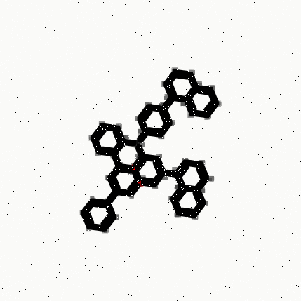 c1ccc(-c2cccc(-c3ccccc3N(c3ccc(-c4cccc5ccccc45)cc3)c3cccc(-c4cccc5ccccc45)c3)c2)cc1